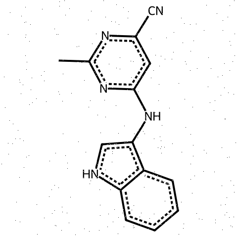 Cc1nc(C#N)cc(Nc2c[nH]c3ccccc23)n1